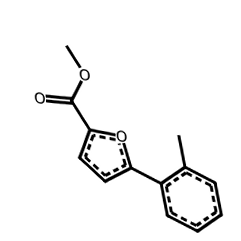 COC(=O)c1ccc(-c2ccccc2C)o1